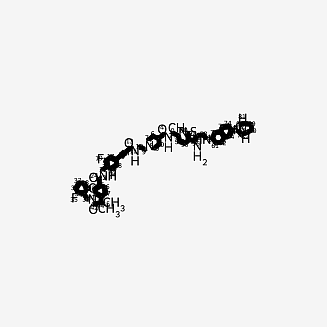 CC(NC(=O)C1CCN(CCNC(=O)C#Cc2cc(F)c(CNC(=O)c3ccc4c(c3)N(Cc3c(F)cccc3Cl)C(=O)C4(C)C)c(F)c2)CC1)c1ccc2c(N)c(CN[C@H]3CCc4cc(N5C[C@H]6CC[C@@H](C5)N6)ccc4C3)sc2n1